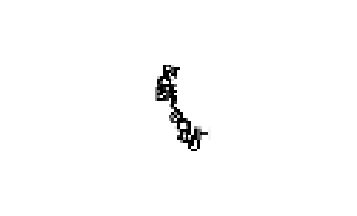 O=c1ccc2cc(OCCCCSc3cc(Br)ccc3Br)ccc2[nH]1